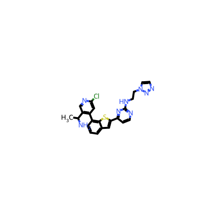 CC(N)c1cnc(Cl)cc1-c1cccc2cc(-c3ccnc(NCCn4ccnn4)n3)sc12